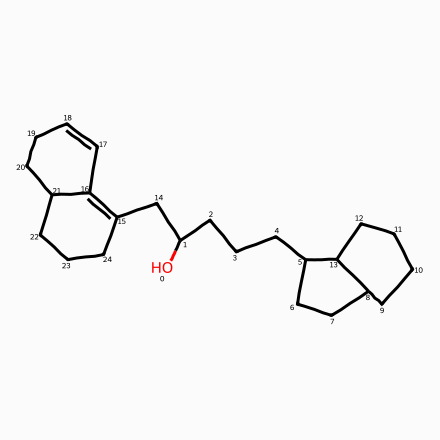 OC(CCCC1CCC2CCCCC21)CC1=C2C=CCCC2CCC1